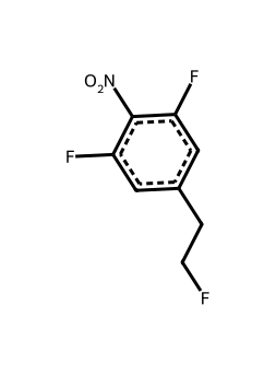 O=[N+]([O-])c1c(F)cc(CCF)cc1F